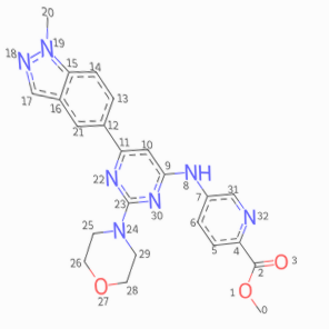 COC(=O)c1ccc(Nc2cc(-c3ccc4c(cnn4C)c3)nc(N3CCOCC3)n2)cn1